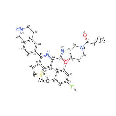 C=CC(=O)N1CCc2oc(-c3nc(-c4ccc5c(c4)CCNC5)c4ccsc4c3-c3ccc(F)cc3OC)nc2C1